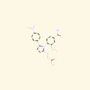 Cc1cc(C(N)=O)ccc1-n1c(CCC(=O)O)ccc1-c1ccc([N+](=O)[O-])cc1